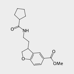 COC(=O)c1ccc2c(c1)C(CCNC(=O)C1CCCC1)CO2